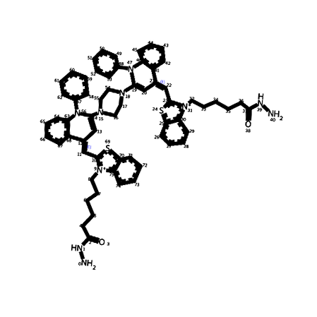 NNC(=O)CCCCC[n+]1c(/C=C2\C=C(N3CCN(C4=C/C(=C\c5sc6ccccc6[n+]5CCCCCC(=O)NN)c5ccccc5N4c4ccccc4)CC3)N(c3ccccc3)c3ccccc32)sc2ccccc21